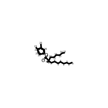 CCCCCCCCC(C)(CCCCCC)C(=O)Oc1ccc(C)c(C)c1